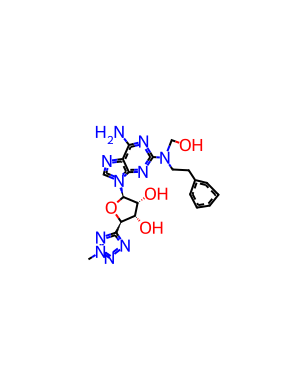 Cn1nnc([C@H]2O[C@@H](n3cnc4c(N)nc(N(CO)CCc5ccccc5)nc43)[C@H](O)[C@@H]2O)n1